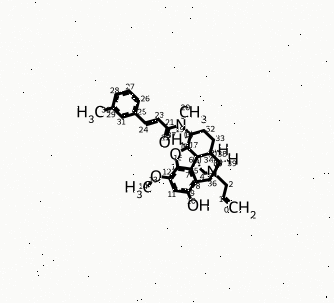 C=CCN1CC[C@]23c4c5c(O)cc(OC)c4O[C@H]2[C@@H](N(C)C(=O)C=Cc2cccc(C)c2)CC[C@H]3[C@H]1C5